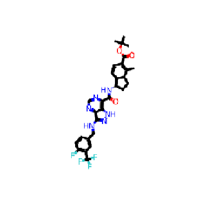 CC1=C(C(=O)OC(C)(C)C)C=CC2C1CC[C@@H]2NC(=O)c1ncnc2c(NCc3ccc(F)c(C(F)(F)F)c3)n[nH]c12